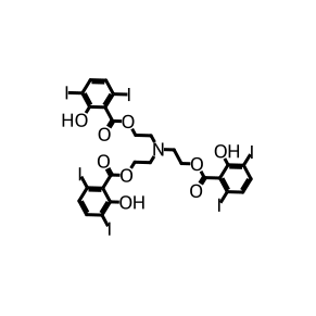 O=C(OCCN(CCOC(=O)c1c(I)ccc(I)c1O)CCOC(=O)c1c(I)ccc(I)c1O)c1c(I)ccc(I)c1O